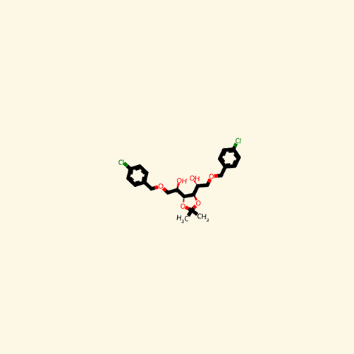 CC1(C)O[C@H]([C@H](O)COCc2ccc(Cl)cc2)[C@@H]([C@H](O)COCc2ccc(Cl)cc2)O1